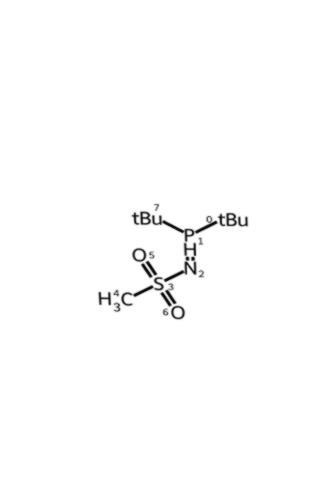 CC(C)(C)[PH](=NS(C)(=O)=O)C(C)(C)C